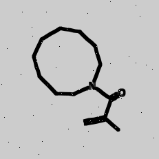 C=C(C)C(=O)N1CCCCCCCCC1